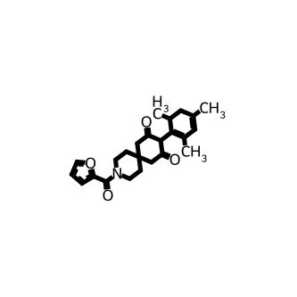 CC1=CC(C)=C(C2C(=O)CC3(CCN(C(=O)c4ccco4)CC3)CC2=O)C(C)C1